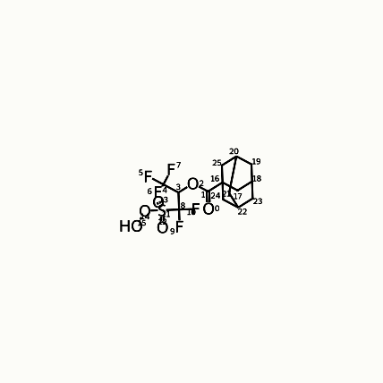 O=C(OC(C(F)(F)F)C(F)(F)S(=O)(=O)OO)C12CC3CC(CC(C3)C1)C2